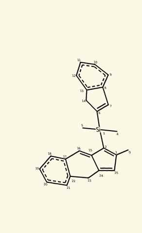 CC1=C([Si](C)(C)C2=Cc3ccccc3C2)C2=Cc3ccccc3CC2=C1